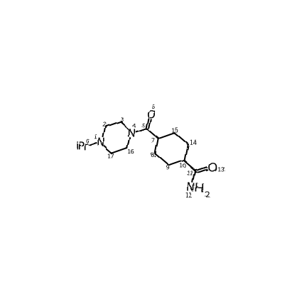 CC(C)N1CCN(C(=O)C2[CH]CC(C(N)=O)CC2)CC1